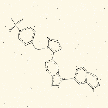 CS(=O)(=O)c1ccc(Cn2nccc2-c2ccc3nnn(-c4ccc5cn[nH]c5c4)c3c2)cc1